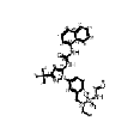 CCN(Cc1cccc(-n2nc(C(C)(C)C)cc2NC(=O)Nc2cccc3ccccc23)c1)S(=O)(=O)NC=O